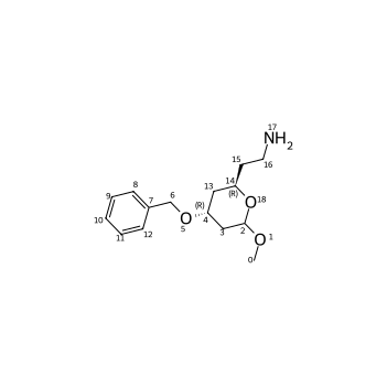 COC1C[C@H](OCc2ccccc2)C[C@@H](CCN)O1